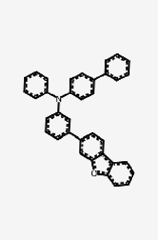 c1ccc(-c2ccc(N(c3ccccc3)c3cccc(-c4ccc5c(c4)oc4ccccc45)c3)cc2)cc1